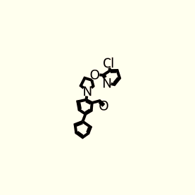 O=Cc1cc(-c2ccccc2)ccc1N1CCC(Oc2ncccc2Cl)C1